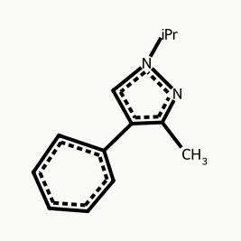 Cc1nn(C(C)C)cc1-c1ccccc1